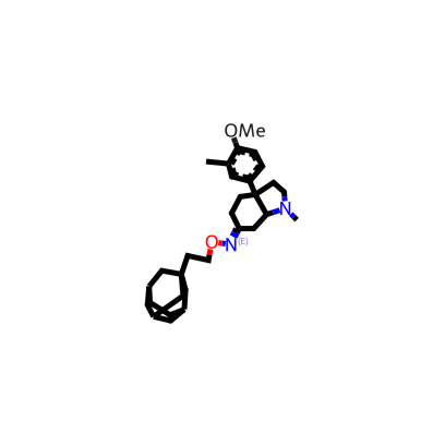 COc1ccc(C23CC/C(=N\OCCC45CC6CCC(CC(C6)C4)C5)CC2N(C)CC3)cc1C